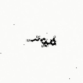 CCN(CCCN)c1cnc2c(-c3cccc(Cl)c3)n[nH]c2n1